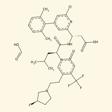 Cc1cccc(C)c1-c1cc(Cl)nc([C@H](CC(=O)O)NC(=O)[C@H](CC(C)C)n2cc(CCN3CC[C@@H](F)C3)c(C(F)(F)F)cc2=O)c1.O=CO